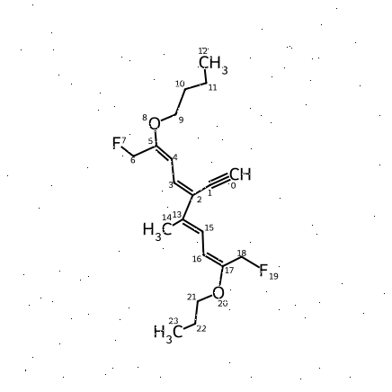 C#CC(=C\C=C(/CF)OCCCC)/C(C)=C/C=C(\CF)OCCC